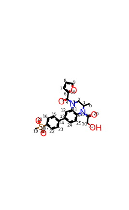 CC1CN(C(=O)c2ccco2)c2cc(-c3ccc(S(C)(=O)=O)cc3)ccc2N1C(=O)CO